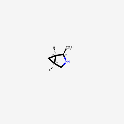 O=C(O)[C@H]1NC[C@H]2C[C@H]21